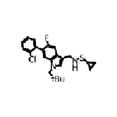 CC(C)(C)Cn1cc(CNSC2CC2)c2cc(F)c(-c3ccccc3Cl)cc21